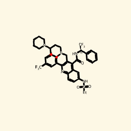 CCS(=O)(=O)Nc1ccc2nc(-c3cccc(C(F)(F)F)c3)c(CN3CCC(N4CCCCC4)CC3)c(C(=O)N[C@H](c3ccccc3)C(F)(F)F)c2c1